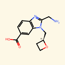 NCc1nc2ccc(C(=O)O)cc2n1C[C@@H]1CCO1